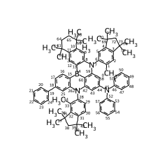 Cc1cc2c(cc1N1c3cc4c(cc3B3c5ccc(-c6ccccc6)cc5N(c5ccc6c(c5C)C(C)(C)CC6(C)C)c5cc(N(c6ccccc6)c6ccccc6)cc1c53)C(C)(C)CCC4(C)C)C(C)(C)CC2(C)C